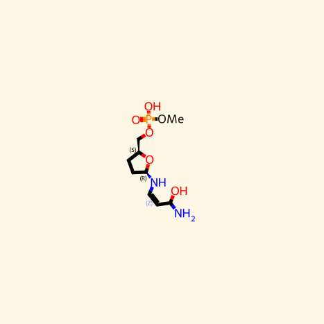 COP(=O)(O)OC[C@@H]1CC[C@H](N/C=C\C(N)O)O1